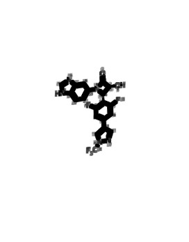 O=C1[C@@H](O)[C@H](c2c(F)cc(-c3cnn(C(F)(F)F)c3)cc2F)N1c1ccc2[nH]cnc2c1